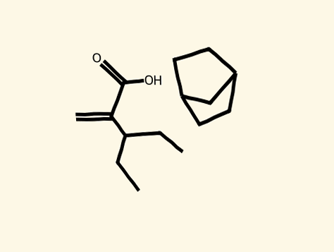 C1CC2CCC1C2.C=C(C(=O)O)C(CC)CC